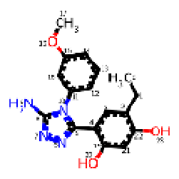 CCc1cc(-c2nnc(N)n2-c2cccc(OC)c2)c(O)cc1O